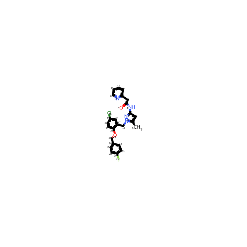 Cc1cc(NC(=O)Cc2ccccn2)nn1Cc1cc(Cl)ccc1OCc1ccc(F)cc1